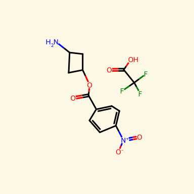 NC1CC(OC(=O)c2ccc([N+](=O)[O-])cc2)C1.O=C(O)C(F)(F)F